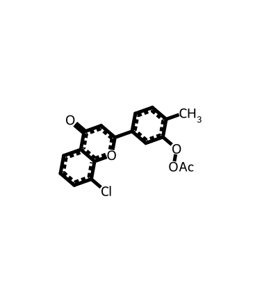 CC(=O)OOc1cc(-c2cc(=O)c3cccc(Cl)c3o2)ccc1C